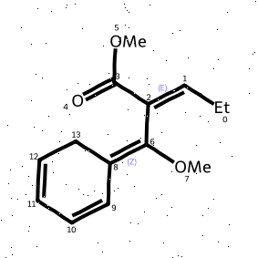 CC/C=C(C(=O)OC)\C(OC)=C1\C=CC=CC1